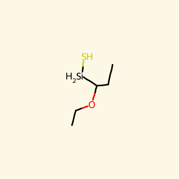 CCOC(CC)[SiH2]S